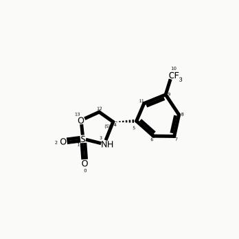 O=S1(=O)N[C@@H](c2cccc(C(F)(F)F)c2)CO1